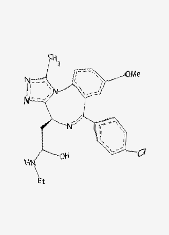 CCNC(O)C[C@@H]1N=C(c2ccc(Cl)cc2)c2cc(OC)ccc2-n2c(C)nnc21